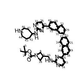 CC(C)(C)OC(=O)N1CC(CNc2nccc(-c3ccc4ccccc4c3)n2)C1.c1ccc2cc(-c3ccnc(NC4CCCNCC4)n3)ccc2c1